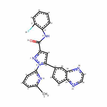 Cc1cccc(-n2nc(C(=O)Nc3ccccc3F)cc2-c2ccc3nccnc3c2)n1